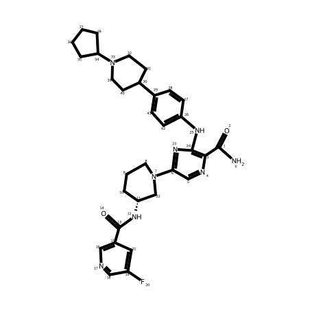 NC(=O)c1ncc(N2CCC[C@@H](NC(=O)c3cncc(F)c3)C2)nc1Nc1ccc(C2CCN(C3CCCC3)CC2)cc1